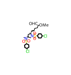 COC(C=O)CCC=C[C@@H]1C[C@@H](N(C)S(=O)(=O)c2ccc(Cl)cc2)CN1S(=O)(=O)c1ccc(Cl)cc1